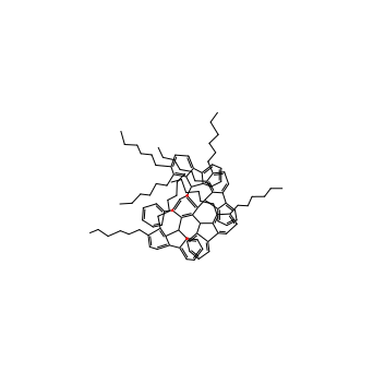 CCCCCCc1ccc2c(c1CCCCCC)C(c1cc(-c3ccccc3)c(C3c4ccccc4-c4ccc(CCCCCC)c(CCCCCC)c43)c(C3c4ccccc4-c4ccc(CCCCCC)c(CCCCCC)c43)c1C1c3ccccc3-c3ccc(CCCCCC)c(CCCCCC)c31)c1ccccc1-2